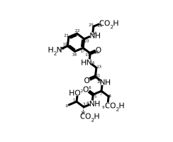 CC(O)[C@H](NC(=O)C(CC(=O)O)NC(=O)CNC(=O)c1cc(N)ccc1NCC(=O)O)C(=O)O